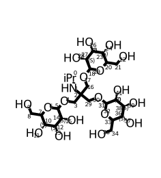 CC(C)NC(COC1OC(CO)[C@@H](O)[C@H](O)[C@@H]1O)(COC1OC(CO)[C@@H](O)[C@H](O)[C@@H]1O)COC1OC(CO)[C@@H](O)[C@H](O)[C@@H]1O